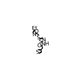 CCc1cnc(CSc2cnc(NC(=O)Cc3ccsc3)s2)o1